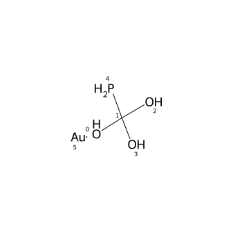 OC(O)(O)P.[Au]